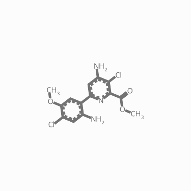 COC(=O)c1nc(-c2cc(OC)c(Cl)cc2N)cc(N)c1Cl